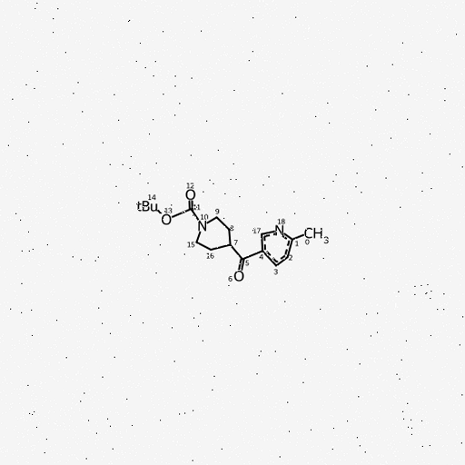 Cc1ccc(C(=O)C2CCN(C(=O)OC(C)(C)C)CC2)cn1